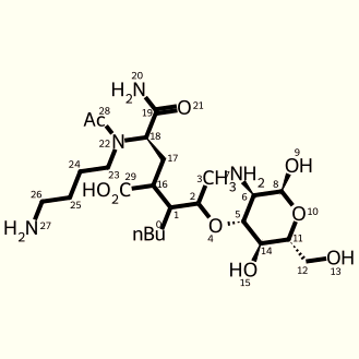 CCCCC(C(C)O[C@@H]1[C@@H](N)[C@@H](O)O[C@H](CO)[C@H]1O)C(C[C@H](C(N)=O)N(CCCCN)C(C)=O)C(=O)O